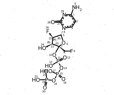 Nc1ccn([C@@H]2O[C@](CF)(OP(=O)(O)OP(=O)(O)OP(=O)(O)O)[C@@H](O)[C@H]2F)c(=O)n1